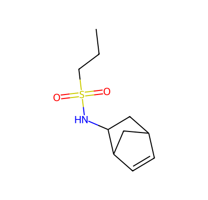 CCCS(=O)(=O)NC1CC2C=CC1C2